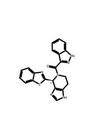 O=C(c1n[nH]c2ccccc12)N1CCc2[nH]cnc2[C@H]1c1nc2ccccc2s1